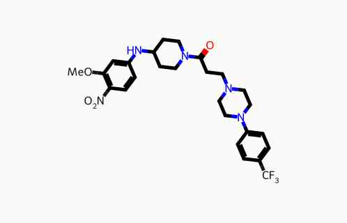 COc1cc(NC2CCN(C(=O)CCN3CCN(c4ccc(C(F)(F)F)cc4)CC3)CC2)ccc1[N+](=O)[O-]